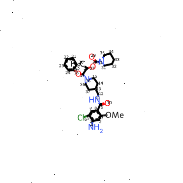 COc1cc(N)c(Cl)cc1C(=O)NCC1CCN(C(Oc2ccccc2)C(C)OC(=O)N2CCCCC2)CC1